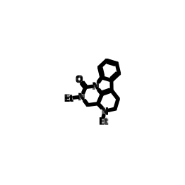 CCN1CC2c3c(c4ccccc4n3C1=O)CCN2CC